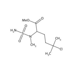 COC(=O)C(CCC(C)(C)Cl)N(C)S(N)(=O)=O